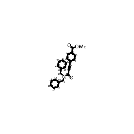 COC(=O)c1ccc(C#CC(=O)N(Cc2ccccc2)Cc2ccccc2)cc1